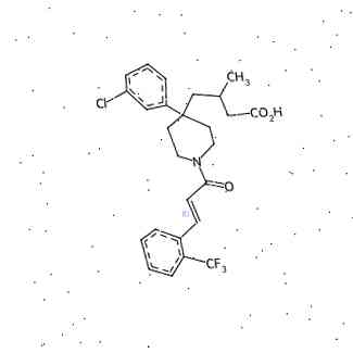 CC(CC(=O)O)CC1(c2cccc(Cl)c2)CCN(C(=O)/C=C/c2ccccc2C(F)(F)F)CC1